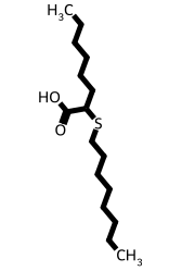 CCCCCCCCSC(CCCCCC)C(=O)O